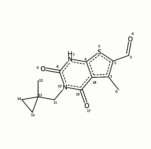 Cc1c(C=O)sc2[nH]c(=O)n(CC3(C)CC3)c(=O)c12